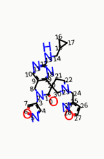 O=C1N(c2cnoc2)Cc2cnc(NCC3CC3)nc2C12CCN(Cc1ccon1)C2